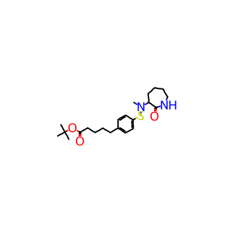 CN(Sc1ccc(CCCCC(=O)OC(C)(C)C)cc1)C1CCCCNC1=O